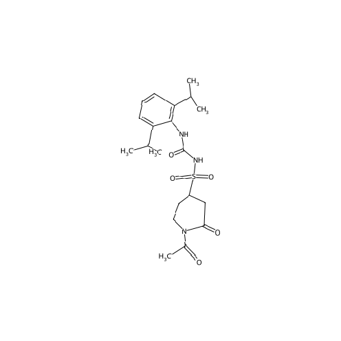 CC(=O)N1CCC(S(=O)(=O)NC(=O)Nc2c(C(C)C)cccc2C(C)C)CC1=O